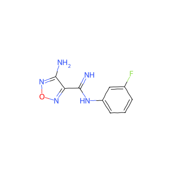 N=C(Nc1cccc(F)c1)c1nonc1N